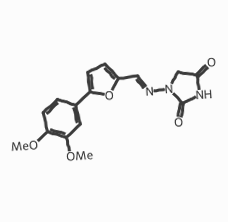 COc1ccc(-c2ccc(C=NN3CC(=O)NC3=O)o2)cc1OC